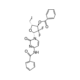 O=C(Nc1ccn([C@@H]2O[C@H](CI)[C@@H](OC(=O)c3ccccc3)C2(F)F)c(=O)n1)c1ccccc1